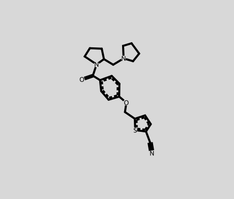 N#Cc1ccc(COc2ccc(C(=O)N3CCCC3CN3CCCC3)cc2)s1